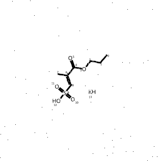 CCCOC(=O)C(C)=CS(=O)(=O)O.[KH]